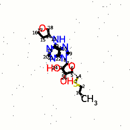 CCCSC[C@H]1O[C@@H](n2cnc3c(N[C@@H]4CCOC4)ncnc32)[C@H](O)[C@@H]1O